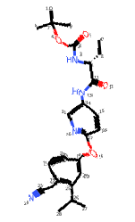 CC[C@@H](NC(=O)OC(C)(C)C)C(=O)Nc1ccc(Oc2ccc(C#N)c(C(C)C)c2)nc1